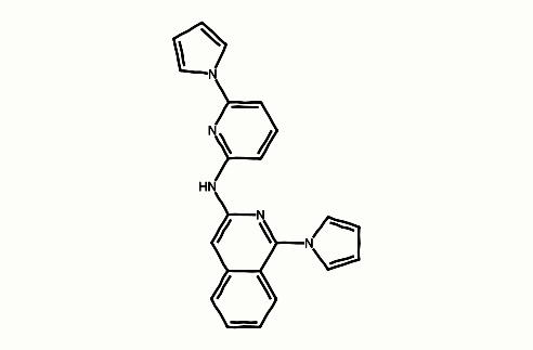 c1cc(Nc2cc3ccccc3c(-n3cccc3)n2)nc(-n2cccc2)c1